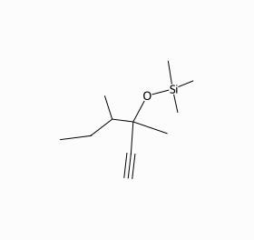 C#CC(C)(O[Si](C)(C)C)C(C)CC